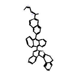 C/C=C\C=C(/C)c1ccc2cc(-c3c4ccccc4c(-c4cc5ccccc5c5c6c(oc45)CCc4ccccc4-6)c4ccccc34)ccc2c1